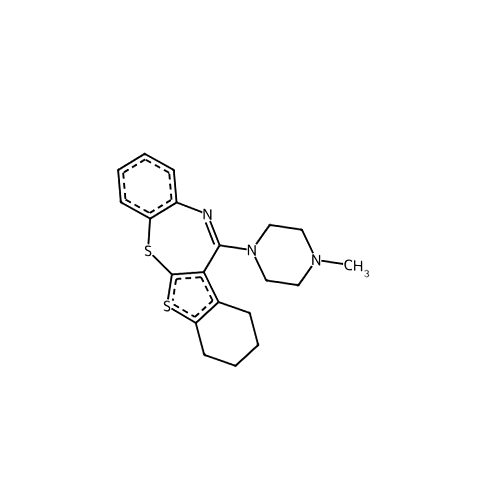 CN1CCN(C2=Nc3ccccc3Sc3sc4c(c32)CCCC4)CC1